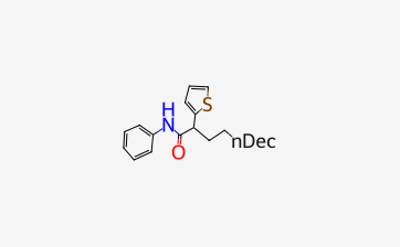 CCCCCCCCCCCCC(C(=O)Nc1ccccc1)c1cccs1